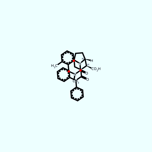 Cc1ccccc1CN(C)C(=O)N1C2CC[C@@H]1[C@@H](C(=O)O)N(C(=O)N(c1ccccc1)c1ccccc1)C2